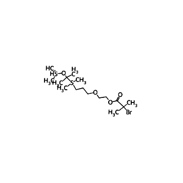 C#[SH](C)OC(C)(C)S(C)(C)CCCOCCOC(=O)C(C)(C)Br